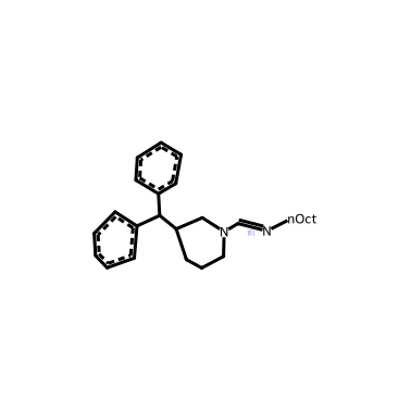 CCCCCCCC/N=C/N1CCCC(C(c2ccccc2)c2ccccc2)C1